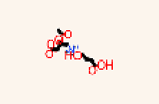 CC(=O)OC(CC(=O)[O-])C[N+](C)(C)C.O=C(O)CCCO